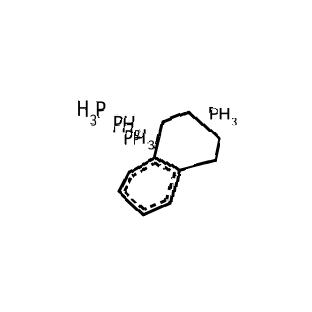 P.P.P.P.c1ccc2c(c1)CCCC2